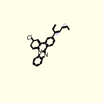 C=C/C(=C\C=C/C)c1ccc2c(c1)c1c(n3c4ccccc4nc23)=CCC(Cl)C=1